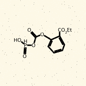 CCOC(=O)c1ccccc1OC(=O)O[PH](=O)O